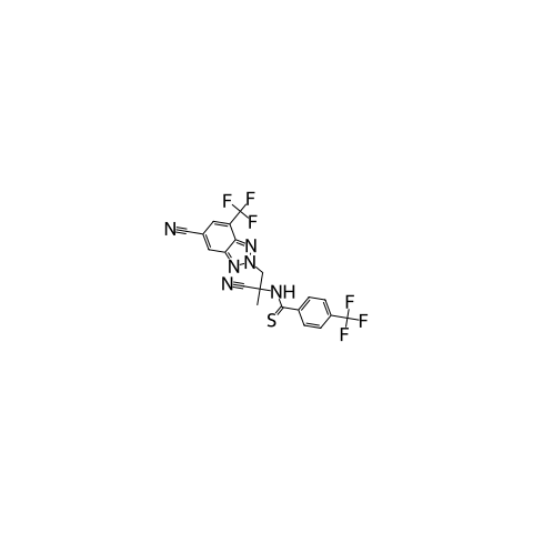 CC(C#N)(Cn1nc2cc(C#N)cc(C(F)(F)F)c2n1)NC(=S)c1ccc(C(F)(F)F)cc1